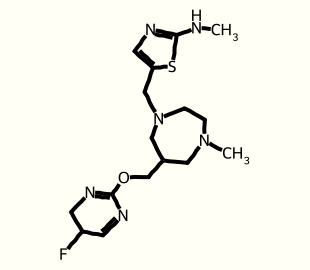 CNc1ncc(CN2CCN(C)CC(COC3=NCC(F)C=N3)C2)s1